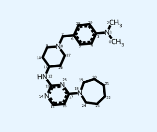 CN(C)c1ccc(CN2CCC(Nc3nccc(N4CCCCCC4)n3)CC2)cc1